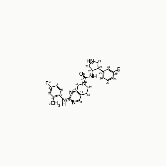 Cc1cc(F)ccc1Nc1ncc2c(n1)CN(C(=O)N[C@@H]1CNC[C@H]1c1cccc(F)c1)CC2